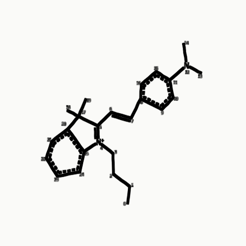 CCCC[N+]1=C(C=Cc2ccc(N(C)C)cc2)C(C)(C)c2ccccc21